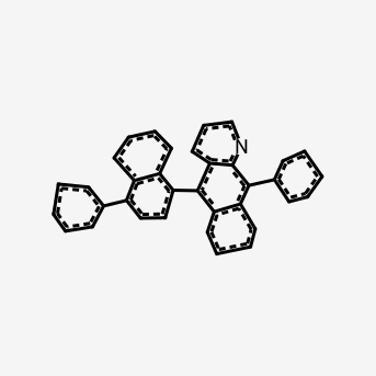 c1ccc(-c2ccc(-c3c4ccccc4c(-c4ccccc4)c4ncccc34)c3ccccc23)cc1